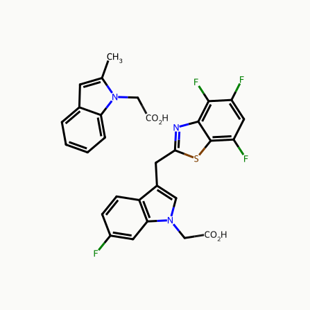 Cc1cc2ccccc2n1CC(=O)O.O=C(O)Cn1cc(Cc2nc3c(F)c(F)cc(F)c3s2)c2ccc(F)cc21